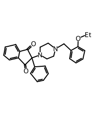 CCOc1ccccc1CN1CCN(C2(c3ccccc3)C(=O)c3ccccc3C2=O)CC1